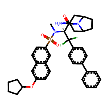 CN([C@@H](C(=O)N1C2CCC1CC(N)C2)C(F)(F)c1ccc(-c2ccccc2)cc1)S(=O)(=O)c1ccc2cc(OC3CCCC3)ccc2c1